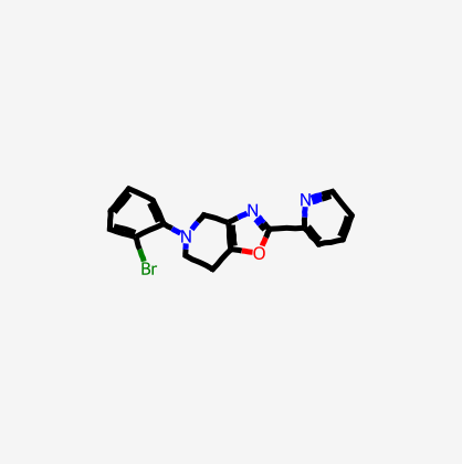 Brc1ccccc1N1CCc2oc(-c3ccccn3)nc2C1